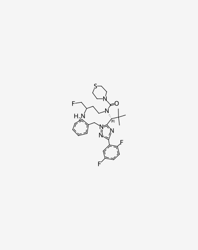 CC(C)(C)[C@H](c1nc(-c2cc(F)ccc2F)nn1Cc1ccccc1)N(CCC(N)CF)C(=O)N1CCSCC1